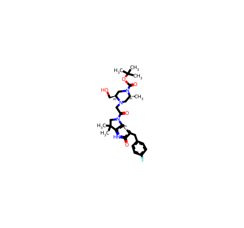 C[C@@H]1CN(CC(=O)N2CC(C)(C)c3[nH]c(=O)c(Cc4ccc(F)cc4)cc32)[C@@H](CO)CN1C(=O)OC(C)(C)C